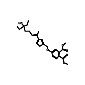 CCC(O)(CC)CCC=C(C)c1csc(COc2ccc(C(=O)OC)c(C(=O)OC)c2)c1